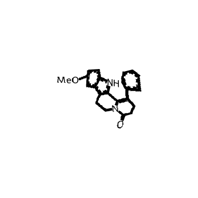 COc1ccc2[nH]c3c(c2c1)CCN1C(=O)CCC(c2ccccc2)=C31